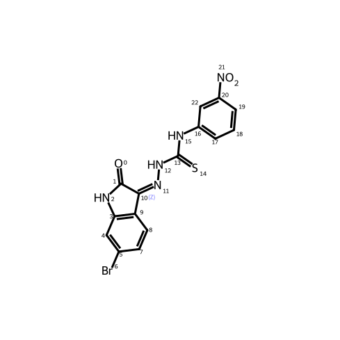 O=C1Nc2cc(Br)ccc2/C1=N/NC(=S)Nc1cccc([N+](=O)[O-])c1